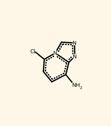 Nc1ccc(Cl)n2cnnc12